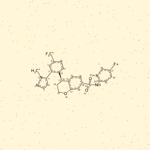 Cn1nccc1-c1cc(C(F)(F)F)ccc1[C@@H]1CCOc2cc(S(=O)(=O)Nc3ccc(F)cn3)ccc21